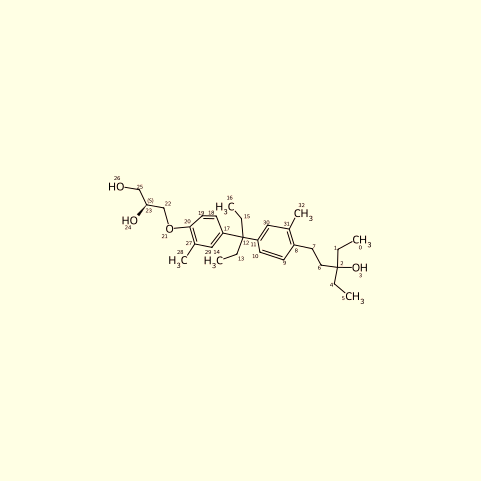 CCC(O)(CC)CCc1ccc(C(CC)(CC)c2ccc(OC[C@@H](O)CO)c(C)c2)cc1C